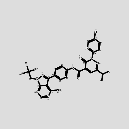 CC(C)c1cc(C(=O)Nc2ccc(-c3nn(CC(F)(F)F)c4ncnc(N)c34)cc2)c(=O)n(-c2ccc(Cl)cn2)n1